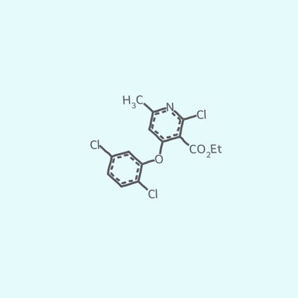 CCOC(=O)c1c(Oc2cc(Cl)ccc2Cl)cc(C)nc1Cl